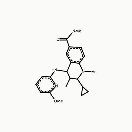 CNC(=O)c1ccc2c(c1)C(Nc1cccc(OC)n1)C(C)C(C1CC1)N2C(C)=O